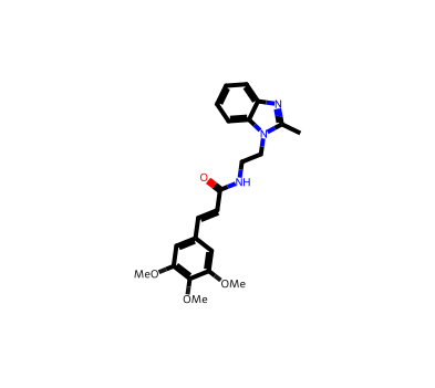 COc1cc(C=CC(=O)NCCn2c(C)nc3ccccc32)cc(OC)c1OC